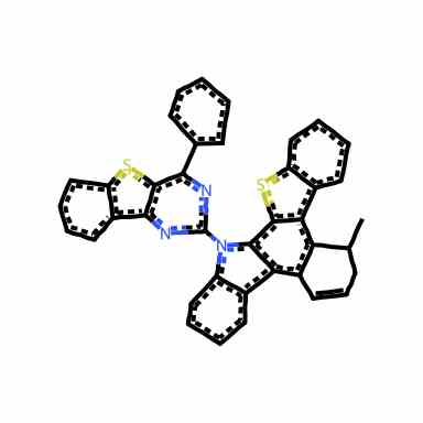 CC1CC=Cc2c1c1c3ccccc3sc1c1c2c2ccccc2n1-c1nc(-c2ccccc2)c2sc3ccccc3c2n1